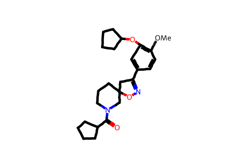 COc1ccc(C2=NOC3(CCCN(C(=O)C4CCCC4)C3)C2)cc1OC1CCCC1